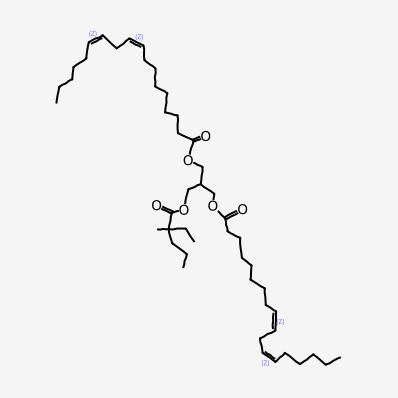 CCCCC/C=C\C/C=C\CCCCCCCC(=O)OCC(COC(=O)CCCCCCC/C=C\C/C=C\CCCCC)COC(=O)C(C)(CC)CCC